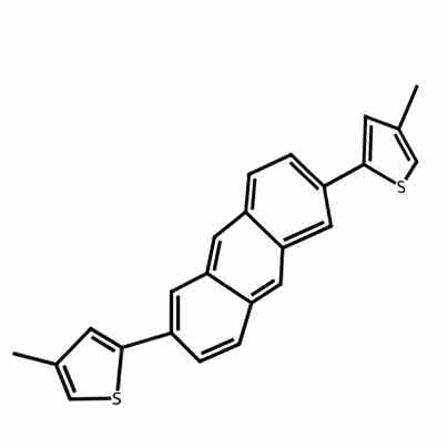 Cc1csc(-c2ccc3cc4cc(-c5cc(C)cs5)ccc4cc3c2)c1